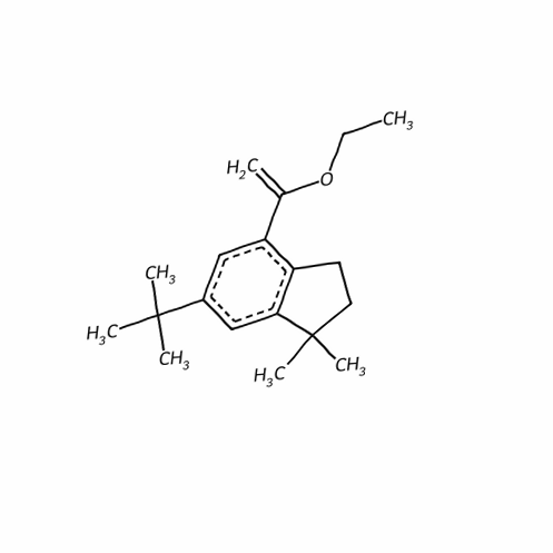 C=C(OCC)c1cc(C(C)(C)C)cc2c1CCC2(C)C